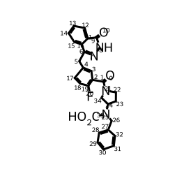 O=C(c1cc(Cc2n[nH]c(=O)c3ccccc23)ccc1F)N1CCC(N(Cc2ccccc2)C(=O)O)C1